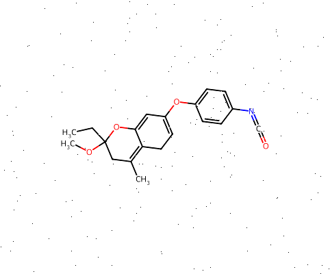 CCC1(OC)CC(C)=C2CC=C(Oc3ccc(N=C=O)cc3)C=C2O1